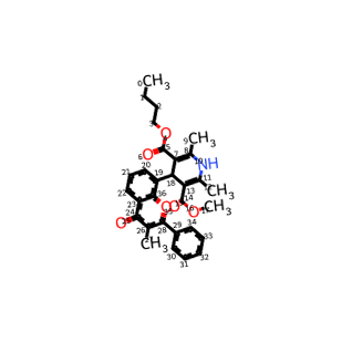 CCCCOC(=O)C1=C(C)NC(C)=C(C(=O)OC)C1c1cccc2c(=O)c(C)c(-c3ccccc3)oc12